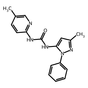 Cc1ccc(NC(=O)Nc2cc(C)nn2-c2ccccc2)nc1